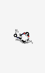 C=C1CCC[C@@H]2CC=C[C@@H](C/C=C\C(=O)OC([C@@H](O)/C=C/C3C=C(C)CCC3)C[C@@H]3O[C@H]3[C@@H](O)C1)O2